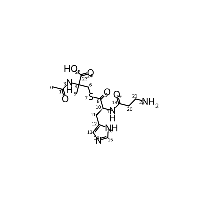 CC(=O)NC(C)(CSC(=O)[C@H](Cc1cnc[nH]1)NC(=O)CCN)C(=O)O